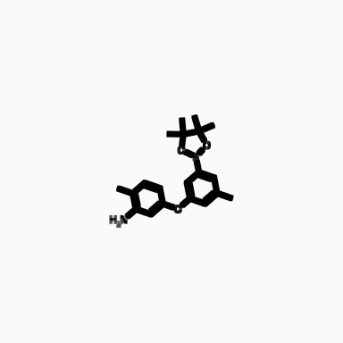 Cc1cc(Oc2ccc(C)c(N)c2)cc(B2OC(C)(C)C(C)(C)O2)c1